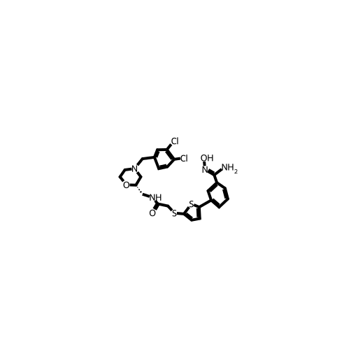 NC(=NO)c1cccc(-c2ccc(SCC(=O)NC[C@H]3CN(Cc4ccc(Cl)c(Cl)c4)CCO3)s2)c1